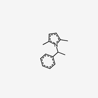 Cc1ccc(C)n1C(C)c1ccccc1